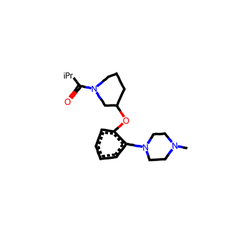 CC(C)C(=O)N1CCCC(Oc2ccccc2N2CCN(C)CC2)C1